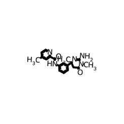 Cc1ccnc(C(=O)Nc2cccc([C@]3(C)CC(=O)N(C)C(N)=N3)c2)c1